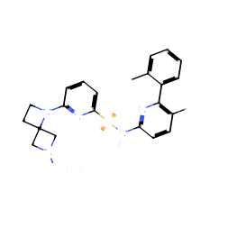 Cc1ccccc1-c1nc(NS(=O)(=O)c2cccc(N3CCC34CN(C(=O)O)C4)n2)ccc1C(F)(F)F